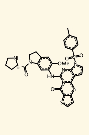 COc1cc2c(cc1Nc1nc3c(ccn3S(=O)(=O)c3ccc(C)cc3)c3nc4ccsc4c(=O)n13)N(C(=O)[C@@H]1CCCN1)CC2